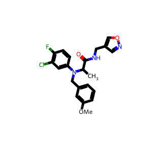 COc1cccc(CN(c2ccc(F)c(Cl)c2)C(C)C(=O)NCc2cnoc2)c1